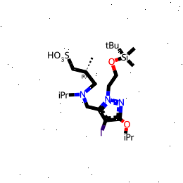 CC(C)Oc1nn(CCO[Si](C)(C)C(C)(C)C)c(CN(C[C@@H](C)CS(=O)(=O)O)C(C)C)c1I